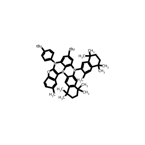 Cc1ccc2oc3c(c2c1)B1c2cc4c(cc2N(c2cc5c(cc2C)C(C)(C)CCC5(C)C)c2cc(C(C)(C)C)cc(c21)N3c1ccc(C(C)(C)C)cc1)C(C)(C)CCC4(C)C